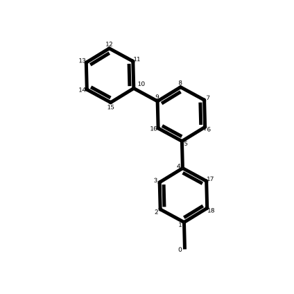 Cc1ccc(-c2[c]ccc(-c3ccccc3)c2)cc1